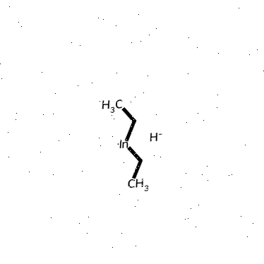 C[CH2][In][CH2]C.[H-]